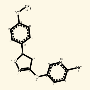 [C-]#[N+]c1ccc(OC2=NO[C@@H](c3ccc(OC(F)(F)F)cc3)C2)cn1